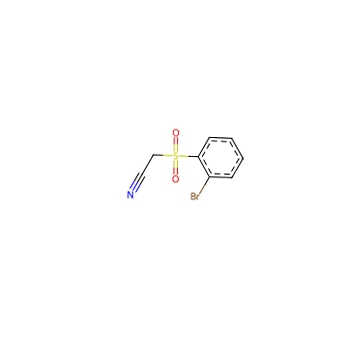 N#CCS(=O)(=O)c1ccccc1Br